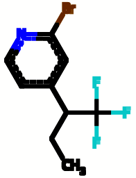 CCC(c1ccnc(Br)c1)C(F)(F)F